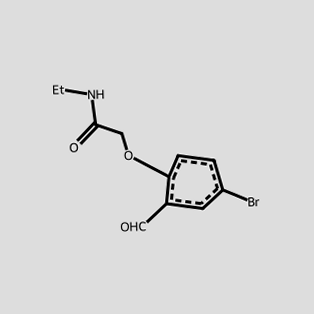 CCNC(=O)COc1ccc(Br)cc1C=O